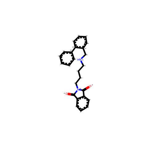 O=C1c2ccccc2C(=O)N1CCCCNCc1ccccc1-c1ccccc1